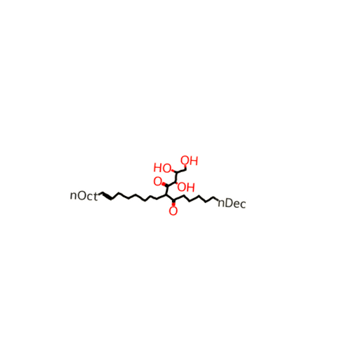 CCCCCCCCC=CCCCCCCC(C(=O)CCCCCCCCCCCCCCC)C(=O)C(O)C(O)CO